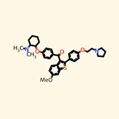 COc1ccc2c(C(=O)c3ccc(OC4CCCCC4N(C)C)cc3)c(-c3ccc(OCCN4CCCC4)cc3)sc2c1